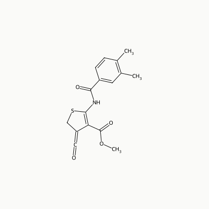 COC(=O)C1=C(NC(=O)c2ccc(C)c(C)c2)SCC1=C=O